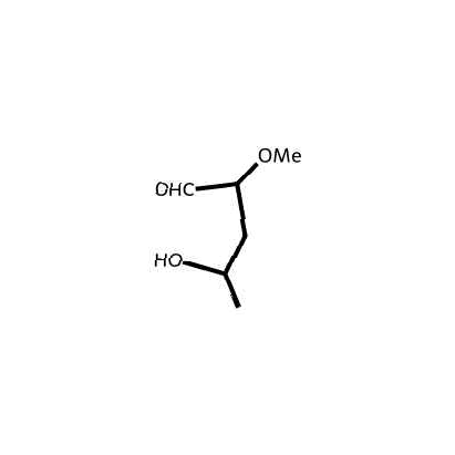 COC(C=O)CC(C)O